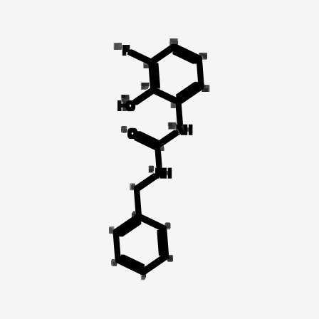 O=C(NCc1ccccc1)Nc1cccc(F)c1O